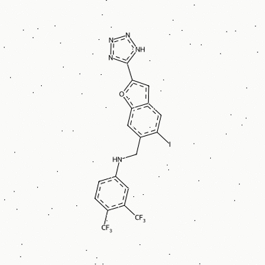 FC(F)(F)c1ccc(NCc2cc3oc(-c4nnn[nH]4)cc3cc2I)cc1C(F)(F)F